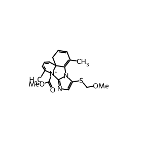 COCSc1cnc2n1C1=C(C)C=CCC13C=CC=C(C)[N+]23C(=O)OC